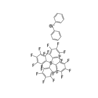 Fc1c(F)c(F)c([B-](c2c(F)c(F)c(F)c(F)c2F)(c2c(F)c(F)c(F)c(F)c2F)c2c(F)c(F)c(F)c(F)c2F)c(F)c1F.c1cc[c]([Bi+][c]2ccccc2)cc1